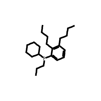 CCCCc1cccc(P(CCC)C2CCCCC2)c1CCCC